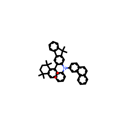 CC1(C)CCC(C)(C)c2c(-c3cc4c(cc3N(c3ccccc3)c3ccc5ccc6ccccc6c5c3)C(C)(C)c3ccccc3-4)cccc21